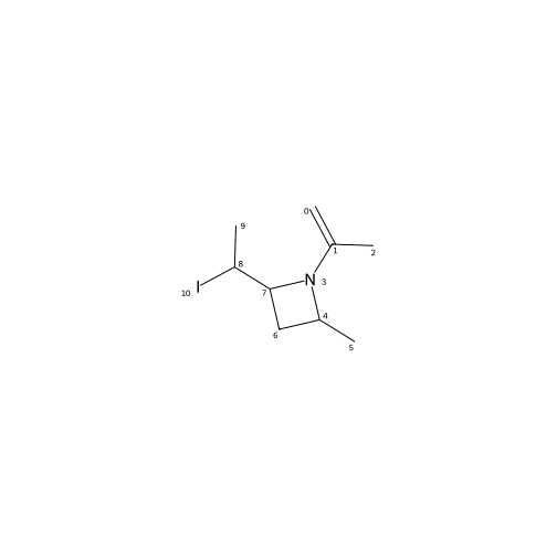 C=C(C)N1C(C)CC1C(C)I